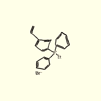 C=Cc1ccc([P+](CC)(c2ccccc2)c2ccccc2)cc1.[Br-]